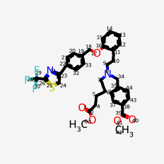 COC(=O)CCCCN(CCc1ccccc1OCc1ccc(-c2csc(C(F)(F)F)n2)cc1)Cc1ccc(C(=O)OC)cc1